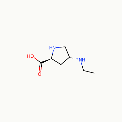 CCN[C@H]1CN[C@H](C(=O)O)C1